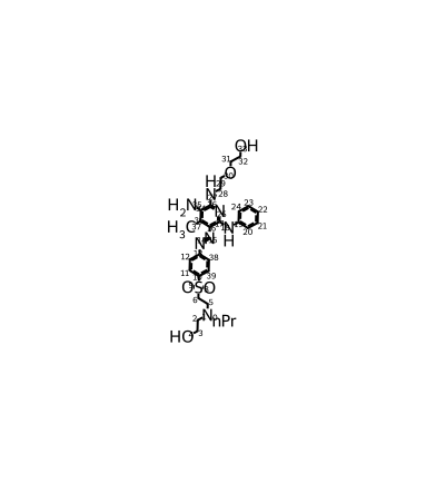 CCCN(CCO)CCS(=O)(=O)c1ccc(/N=N/c2c(Nc3ccccc3)nc(NCCOCCO)c(N)c2C)cc1